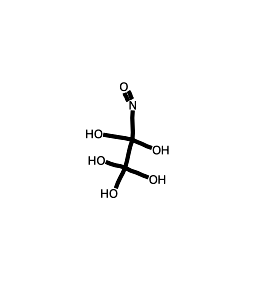 O=NC(O)(O)C(O)(O)O